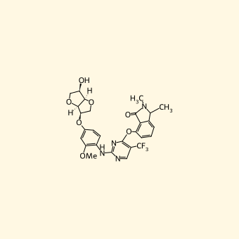 COc1cc(O[C@@H]2CO[C@H]3[C@@H]2OC[C@H]3O)ccc1Nc1ncc(C(F)(F)F)c(Oc2cccc3c2C(=O)N(C)C3C)n1